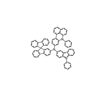 c1ccc(N2c3cc(N(c4ccc5c(c4)C4(c6ccccc6-c6ccccc64)c4ccccc4-5)c4ccc5c(c4)c4ccccc4n5-c4ccccc4)ccc3-c3cccc4cccc2c34)cc1